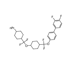 CCCC1CCC(C(F)(F)OC2CCC(C(F)(F)Oc3ccc(-c4ccc(F)c(F)c4)cc3)CC2)CC1